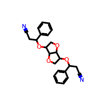 N#CCC(OC1COC2C(OC(CC#N)c3ccccc3)COC12)c1ccccc1